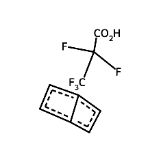 O=C(O)C(F)(F)C(F)(F)F.c1cc2ccc1-2